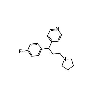 Fc1ccc(C([CH]CN2CCCC2)c2ccncc2)cc1